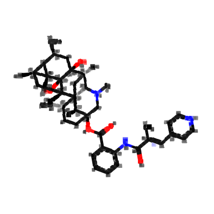 CCN1C[C@]2(OC(=O)c3ccccc3NC(=O)/C(C)=C/c3ccncc3)CC[C@H](OC)[C@]34C1[C@@H](C[C@H]23)[C@@]1(O)C[C@H](OC)C2[C@H]3C[C@@H]4[C@]1(O)[C@@H]23